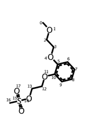 COCCOc1ccccc1OCCOS(C)(=O)=O